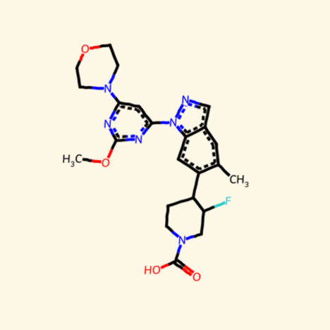 COc1nc(N2CCOCC2)cc(-n2ncc3cc(C)c(C4CCN(C(=O)O)CC4F)cc32)n1